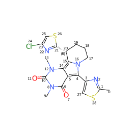 Cc1nc(-c2c3c(=O)n(C)c(=O)n(C)c3c3n2CCC[C@H]3c2nc(Cl)cs2)cs1